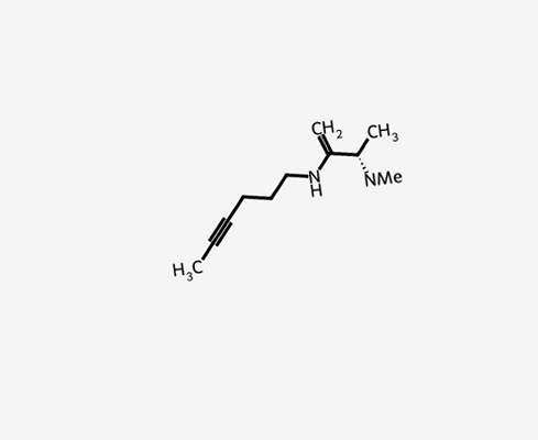 C=C(NCCCC#CC)[C@H](C)NC